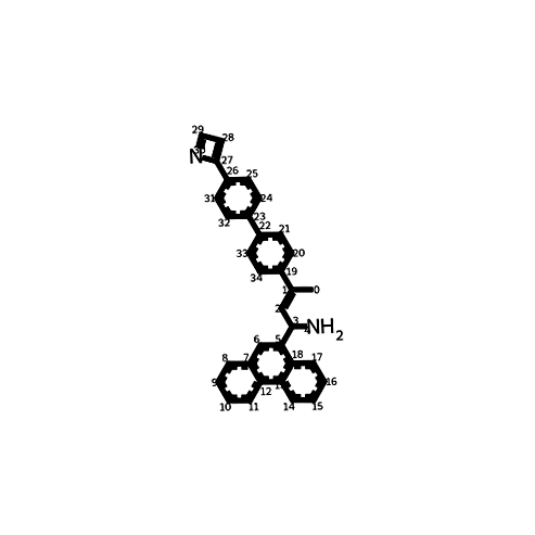 C/C(=C\C(N)c1cc2ccccc2c2ccccc12)c1ccc(-c2ccc(C3=CC=N3)cc2)cc1